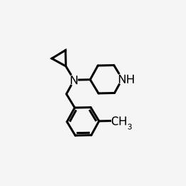 Cc1cccc(CN(C2CCNCC2)C2CC2)c1